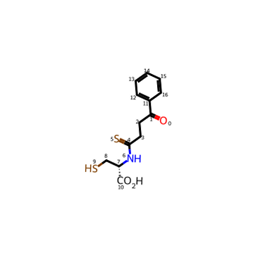 O=C(CCC(=S)N[C@@H](CS)C(=O)O)c1ccccc1